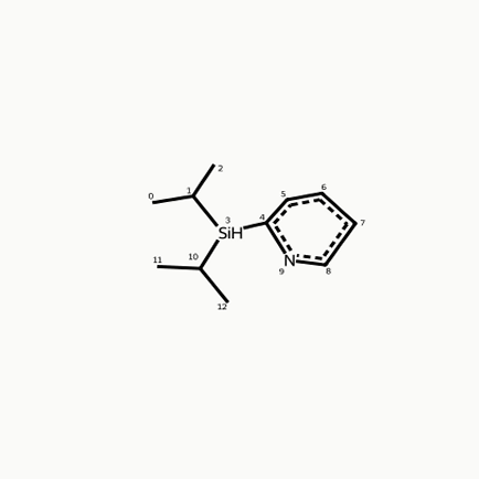 CC(C)[SiH](c1ccccn1)C(C)C